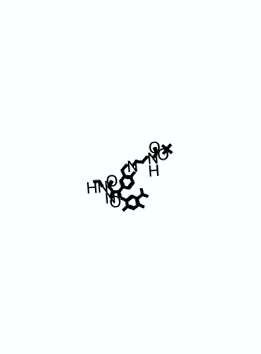 CCNC(=O)c1noc(-c2cc(C(C)C)c(C)cc2C)c1-c1ccc2c(c1)CCN(CCCNC(=O)OC(C)(C)C)C2